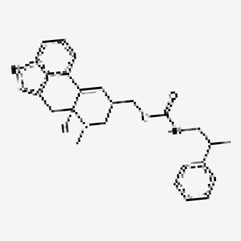 CC(CNC(=O)OCC1C=C2c3cccc4[nH]cc(c34)C[C@@H]2N(C)C1)c1ccccc1